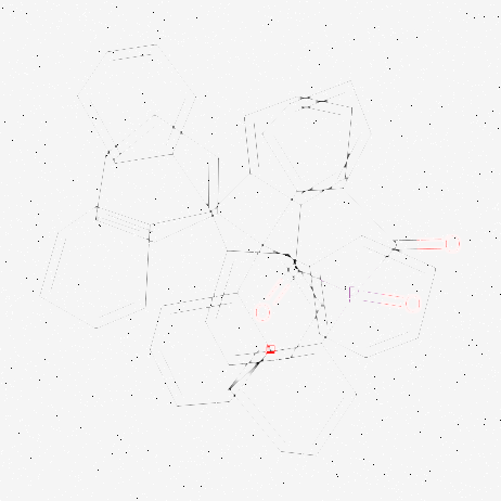 O=C(c1ccccc1C(c1ccccc1)(c1ccccc1)c1ccccc1)P(=O)(C(=O)c1ccccc1C(c1ccccc1)(c1ccccc1)c1ccccc1)c1ccccc1